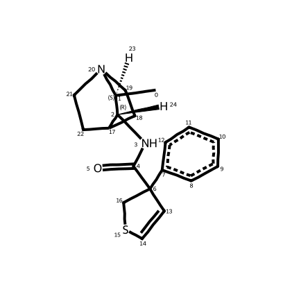 C[C@H]1[C@H](NC(=O)C2(c3ccccc3)C=CSC2)C2CCN1CC2